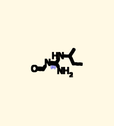 CCC(C)N/C(N)=N/C=O